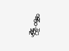 COc1ccnc(Oc2ccc(CCNc3ncnc4scc(Cl)c34)cc2)n1